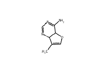 CC1=COC2C(N)=NC=NC12